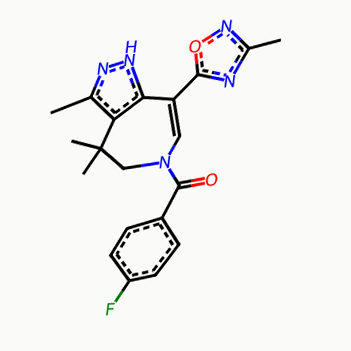 Cc1noc(C2=CN(C(=O)c3ccc(F)cc3)CC(C)(C)c3c(C)n[nH]c32)n1